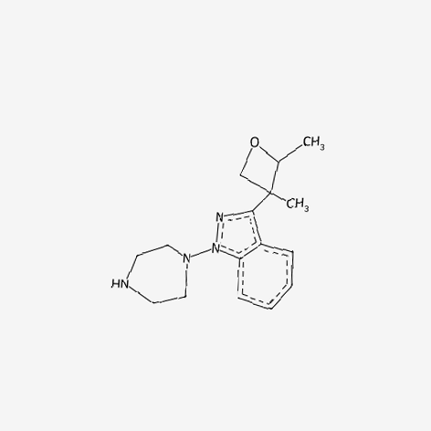 CC1OCC1(C)c1nn(N2CCNCC2)c2ccccc12